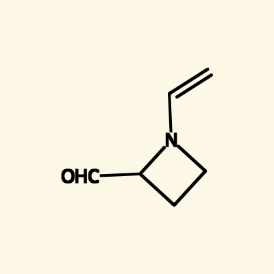 C=CN1CCC1C=O